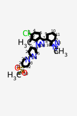 Cc1c(Cl)ccc2c(-c3cccc4nn(C)cc34)nn(-c3ccc(N4CCC(S(C)(=O)=O)CC4)nc3)c12